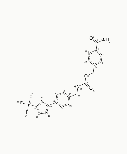 NC(=O)c1ccc(COC(=O)NCc2ccc(-c3noc(C(F)(F)F)n3)cc2)cn1